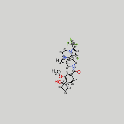 COc1cc(C(=O)N2CCC3(CC2)c2c(F)cc(C(F)(F)F)n2CCN3C)ccc1C1(O)CCC1